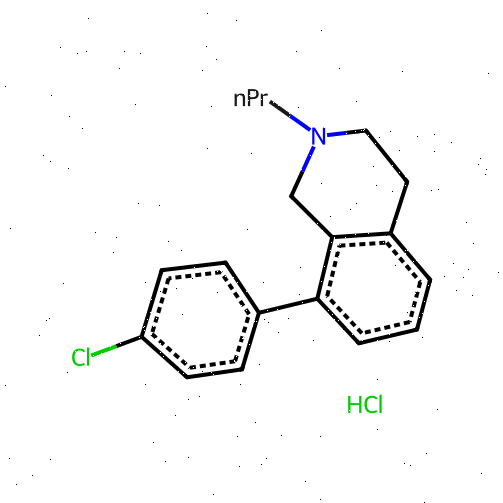 CCCN1CCc2cccc(-c3ccc(Cl)cc3)c2C1.Cl